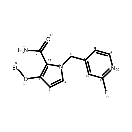 CCOc1ccn(Cc2ccnc(F)c2)c1C(N)=O